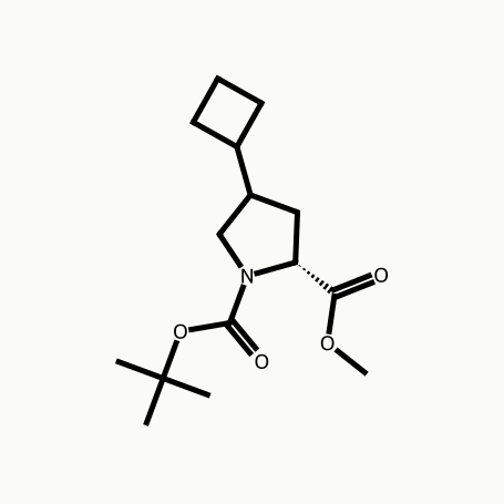 COC(=O)[C@H]1CC(C2CCC2)CN1C(=O)OC(C)(C)C